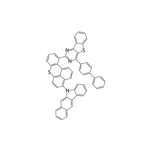 c1ccc(-c2ccc(-c3nc(-c4cccc5c4-c4cccc6c(-n7c8ccccc8c8cc9ccccc9cc87)ccc(c46)S5)nc4c3sc3ccccc34)cc2)cc1